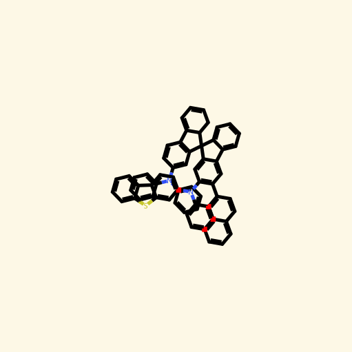 C1=CCC2C(=C1)c1ccc(N(c3ccccc3)c3ccccc3)cc1C21c2ccccc2-c2cc(-c3ccc4ccccc4c3)c(N(c3ccccc3)c3ccc4c(c3)sc3ccccc34)cc21